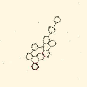 c1ccc(-c2ccc(-c3ccc(N(c4cccc(-c5cccc(-c6ccccc6)c5-c5ccccc5-c5ccccc5)c4)c4ccccc4-c4ccccc4)cc3)cc2)cc1